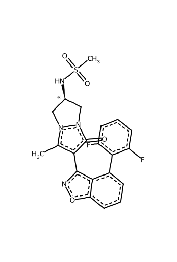 Cc1c(-c2noc3cccc(-c4c(F)cccc4F)c23)c(=O)n2n1C[C@@H](NS(C)(=O)=O)C2